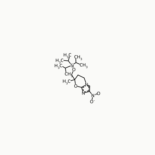 CC(C)[Si](OCC1(C)CCn2cc([N+](=O)[O-])nc2O1)(C(C)C)C(C)C